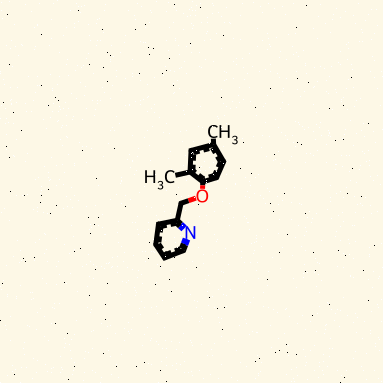 Cc1ccc(OCc2ccccn2)c(C)c1